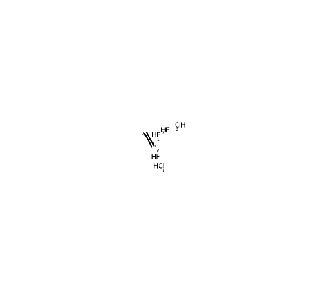 C=C.Cl.Cl.F.F.F